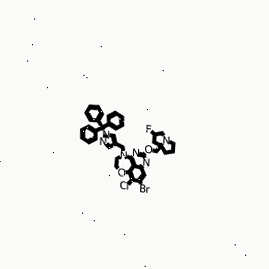 FC1CN2CCCC2(COc2nc3c4c(c(Cl)c(Br)cc4n2)OCCN3Cc2cnn(C(c3ccccc3)(c3ccccc3)c3ccccc3)c2)C1